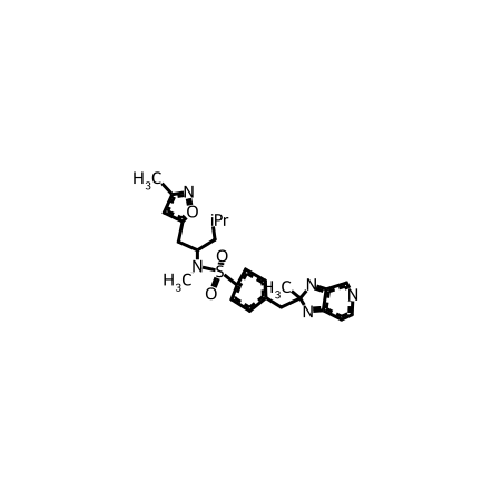 Cc1cc(CC(CC(C)C)N(C)S(=O)(=O)c2ccc(CC3(C)N=c4ccncc4=N3)cc2)on1